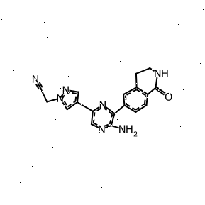 N#CCn1cc(-c2cnc(N)c(-c3ccc4c(c3)CCNC4=O)n2)cn1